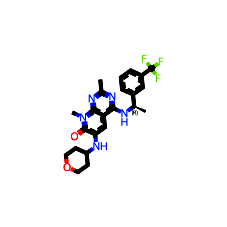 Cc1nc(N[C@H](C)c2cccc(C(F)(F)F)c2)c2cc(NC3CCOCC3)c(=O)n(C)c2n1